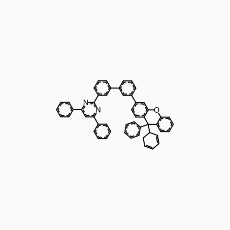 C1=CCC(C2(c3ccccc3)c3ccccc3Oc3cc(-c4cccc(-c5cccc(-c6nc(-c7ccccc7)cc(-c7ccccc7)n6)c5)c4)ccc32)C=C1